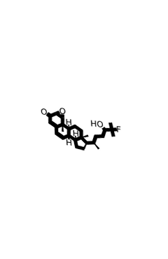 C[C@H](CCC(O)C(C)(C)F)[C@H]1CC[C@H]2[C@@H]3C=CC4=CC(=O)C5OC5[C@]4(C)[C@H]3CC[C@]12C